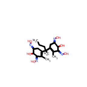 CCCC(C)(C1=C(C)C(=NO)C(O)C(=NO)C1)C1=C(C)C(=NO)C(O)C(=NO)C1